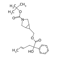 CC=CCC(O)(C(=O)OCC1C2CN(C(=O)OC(C)(C)C)CC12)c1ccccc1